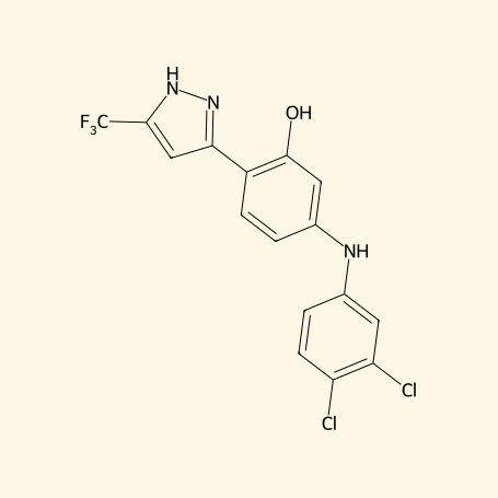 Oc1cc(Nc2ccc(Cl)c(Cl)c2)ccc1-c1cc(C(F)(F)F)[nH]n1